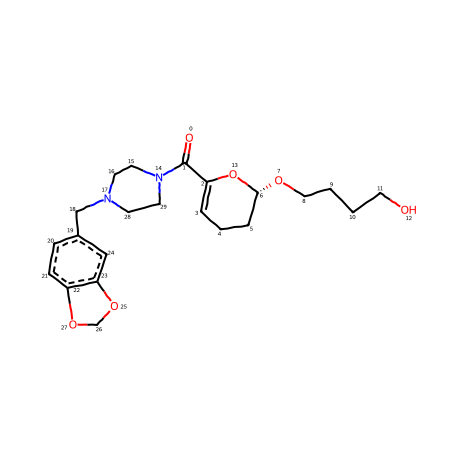 O=C(C1=CCC[C@@H](OCCCCO)O1)N1CCN(Cc2ccc3c(c2)OCO3)CC1